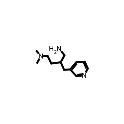 CN(C)CCC(CN)Cc1cccnc1